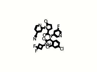 N#Cc1ccnc(N2C(=O)CCC2C(=O)N(c2cncc(F)c2)[C@H](C(=O)NC2CC(F)(F)C2)c2ccc(Cl)cc2Cl)c1